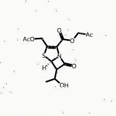 CC(=O)COC(=O)C1=C(COC(C)=O)S[C@@H]2C(C(C)O)C(=O)N12